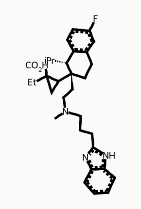 CCC1(C(=O)O)CC1[C@@]1(CCN(C)CCCc2nc3ccccc3[nH]2)CCc2cc(F)ccc2[C@H]1C(C)C